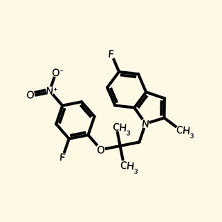 Cc1cc2cc(F)ccc2n1CC(C)(C)Oc1ccc([N+](=O)[O-])cc1F